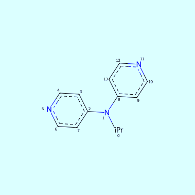 CC(C)N(c1ccncc1)c1ccncc1